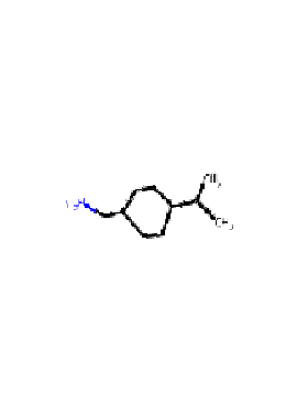 CC(C)C1CCC(CN)CC1